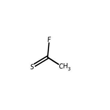 CC(F)=S